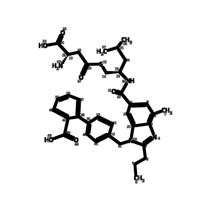 CCCc1nc2c(C)cc(C(=O)N[C@@H](CSC(=O)C[C@H](N)C(=O)O)CC(C)C)cc2n1Cc1ccc(-c2ccccc2C(=O)O)cc1